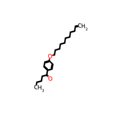 C=CCCCCCCCCCOc1ccc(C(=O)CCCC)cc1